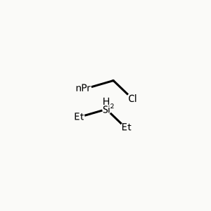 CCCCCl.CC[SiH2]CC